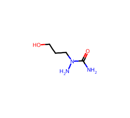 NC(=O)N(N)CCCO